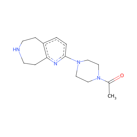 CC(=O)N1CCN(c2ccc3c(n2)CCNCC3)CC1